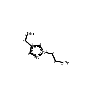 CC(C)CCn1cc(CC(C)(C)C)cn1